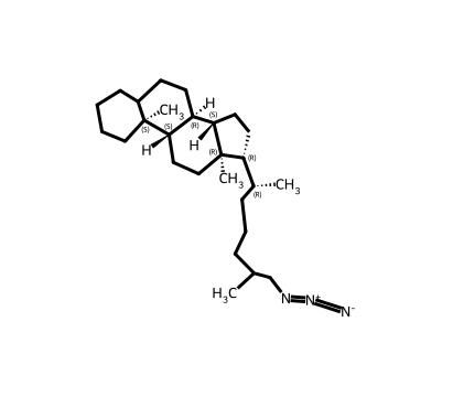 CC(CCC[C@@H](C)[C@H]1CC[C@H]2[C@@H]3CCC4CCCC[C@]4(C)[C@H]3CC[C@]12C)CN=[N+]=[N-]